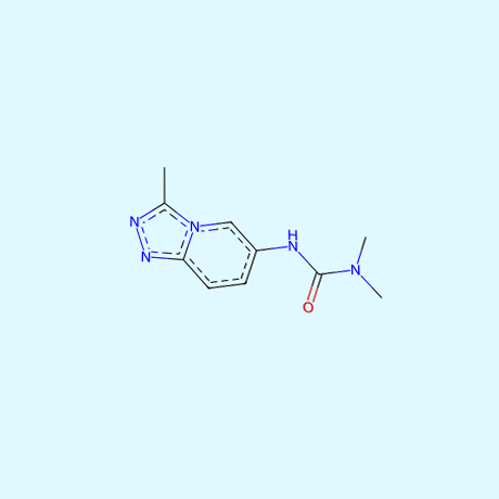 Cc1nnc2ccc(NC(=O)N(C)C)cn12